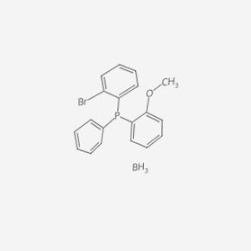 B.COc1ccccc1P(c1ccccc1)c1ccccc1Br